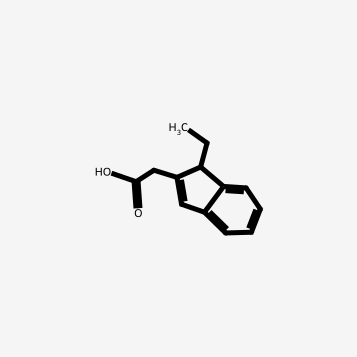 CCC1C(CC(=O)O)=Cc2ccccc21